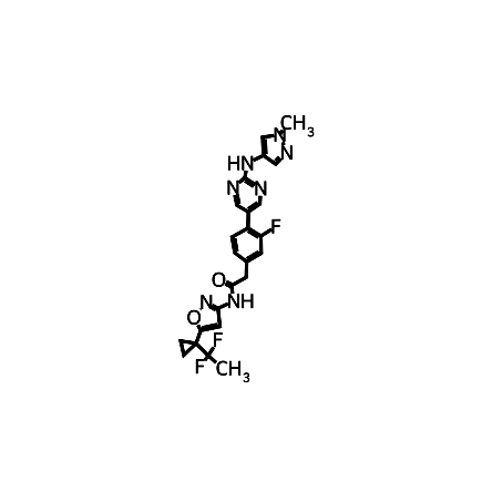 Cn1cc(Nc2ncc(-c3ccc(CC(=O)Nc4cc(C5(C(C)(F)F)CC5)on4)cc3F)cn2)cn1